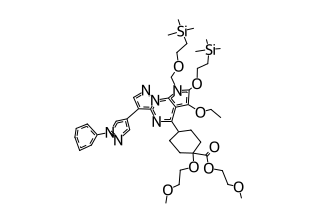 CCOc1c(OCC[Si](C)(C)C)n(COCC[Si](C)(C)C)c2c1c(C1CCC(OCCOC)(C(=O)OCCOC)CC1)nc1c(-c3cnn(-c4ccccc4)c3)cnn12